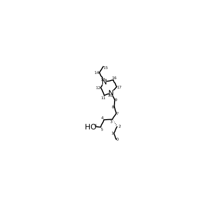 CCC[C@H](CCO)CCCN1CCN(CC)CC1